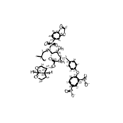 CC(C)CN(C[C@@H](O)[C@H](Cc1ccc(Oc2ccc([N+](=O)[O-])cc2[N+](=O)[O-])cc1)NC(=O)O[C@H]1CO[C@H]2OCC[C@H]21)S(=O)(=O)c1ccc2c(c1)OCO2